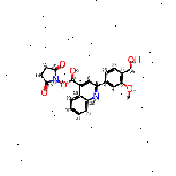 COc1cc(-c2cc(C(=O)ON3C(=O)CCC3=O)c3ccccc3n2)ccc1CO